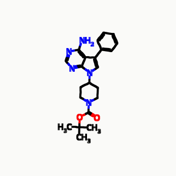 CC(C)(C)OC(=O)N1CCC(n2cc(-c3ccccc3)c3c(N)ncnc32)CC1